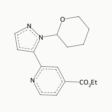 CCOC(=O)c1ccnc(-c2ccnn2C2CCCCO2)c1